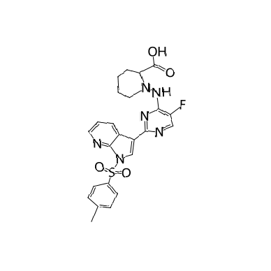 Cc1ccc(S(=O)(=O)n2cc(-c3ncc(F)c(NN4CCCCC4C(=O)O)n3)c3cccnc32)cc1